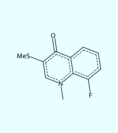 CSc1cn(C)c2c(F)cccc2c1=O